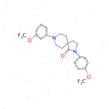 O=C1N(c2ccc(OC(F)(F)F)cc2)CCC12CCN(c1cccc(OC(F)(F)F)c1)CC2